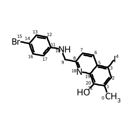 Cc1cc(I)c2ccc(CNc3ccc(Br)cc3)nc2c1O